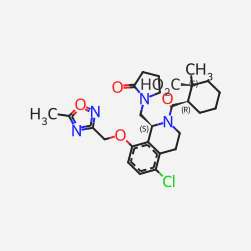 Cc1nc(COc2ccc(Cl)c3c2[C@@H](CN2CCCC2=O)N(C(=O)[C@@H]2CCCC[C@]2(C)C(=O)O)CC3)no1